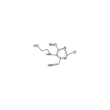 COc1nc(Cl)nc(C=N)c1NCCO